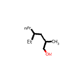 CCCC(CC)CC(C)CO